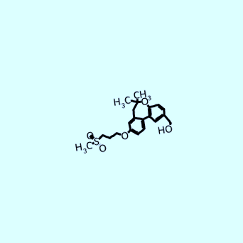 CC1(C)Cc2cc(OCCCS(C)(=O)=O)ccc2-c2cc(CO)ccc2O1